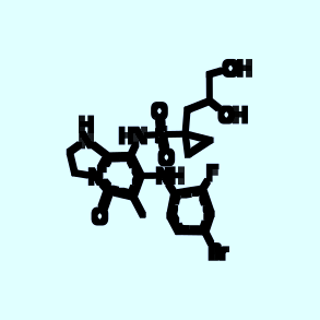 Cc1c(Nc2ccc(Br)cc2F)c(NS(=O)(=O)C2(CC(O)CO)CC2)c2n(c1=O)CCN2